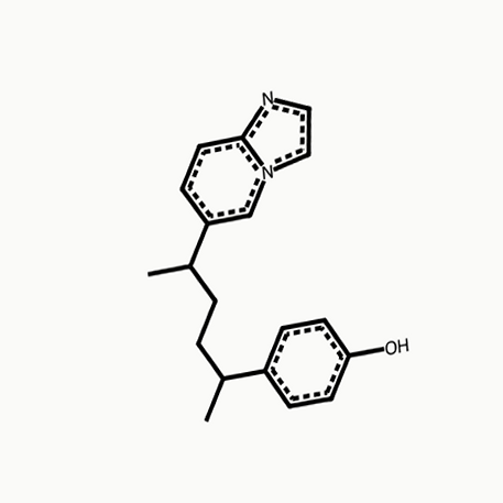 CC(CCC(C)c1ccc2nccn2c1)c1ccc(O)cc1